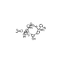 C=CC(=O)N1CC[C@H](C(=O)N(C)C(C(=O)N[C@H]2Cc3cc(O)cc(c3)-c3ccc4c(c3)c(c(-c3ccccc3CN(C)C)n4CC)CC(C)(C)COC(=O)[C@@H]3CCCN(N3)C2=O)C(C)C)C1